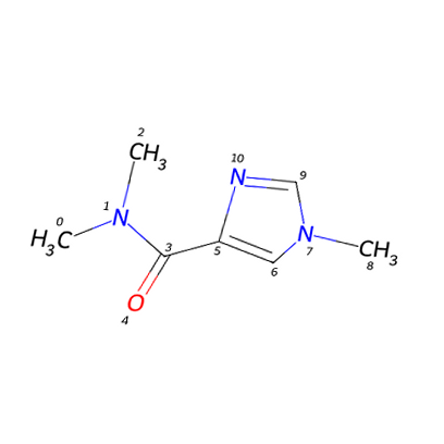 CN(C)C(=O)c1cn(C)cn1